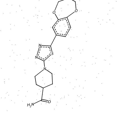 NC(=O)C1CCN(c2nnc(-c3ccc4c(c3)OCCCO4)s2)CC1